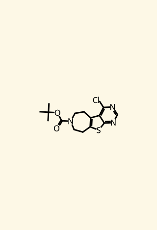 CC(C)(C)OC(=O)N1CCc2sc3ncnc(Cl)c3c2CC1